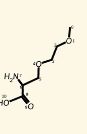 COCCOCC(N)C(=O)O